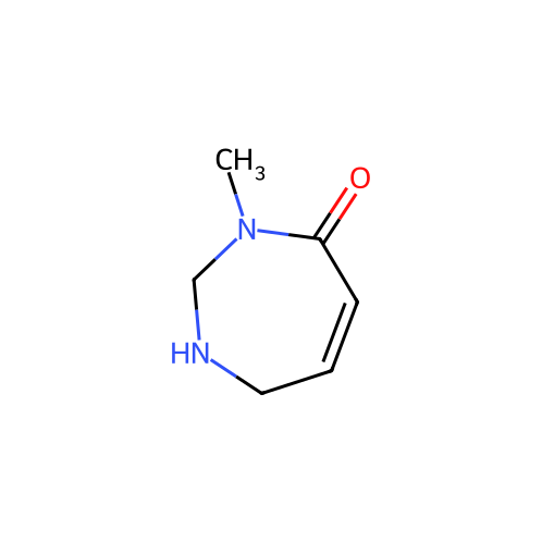 CN1CNCC=CC1=O